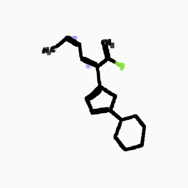 C=C(F)/C(=C\C=C/C)C1=CC=C(C2CCCCC2)C1